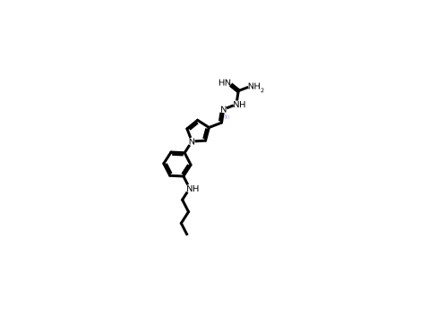 CCCCNc1cccc(-n2ccc(/C=N/NC(=N)N)c2)c1